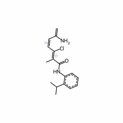 C=C(N)/C=C\C(Cl)=C(/C)C(=O)Nc1ccccc1C(C)C